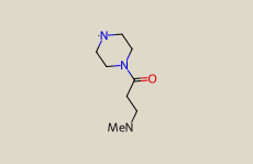 CNCCC(=O)N1CC[N]CC1